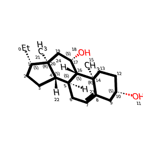 CC[C@H]1CC[C@H]2[C@@H]3CC=C4C[C@@H](O)CC[C@]4(C)[C@H]3[C@@H](O)C[C@]12C